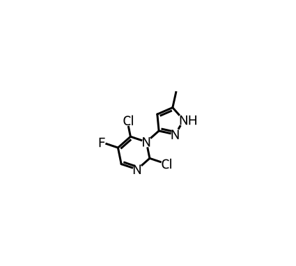 Cc1cc(N2C(Cl)=C(F)C=NC2Cl)n[nH]1